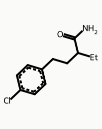 CCC(CCc1ccc(Cl)cc1)C(N)=O